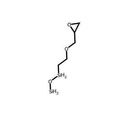 [SiH3]O[SiH2]CCOCC1CO1